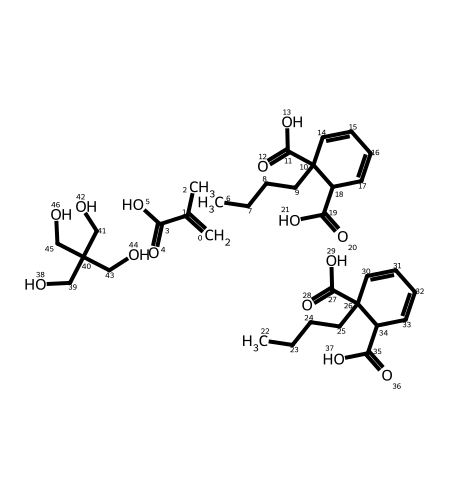 C=C(C)C(=O)O.CCCCC1(C(=O)O)C=CC=CC1C(=O)O.CCCCC1(C(=O)O)C=CC=CC1C(=O)O.OCC(CO)(CO)CO